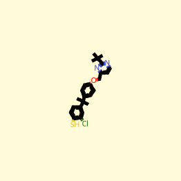 CC(C)(C)c1nccc(COc2ccc(C(C)(C)c3ccc(S)c(Cl)c3)cc2)n1